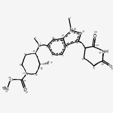 CN(c1ccc2c(C3CCC(=O)NC3=O)nn(C)c2c1)[C@@H]1CCN(C(=O)OC(C)(C)C)C[C@H]1F